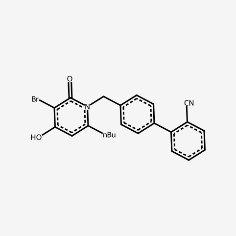 CCCCc1cc(O)c(Br)c(=O)n1Cc1ccc(-c2ccccc2C#N)cc1